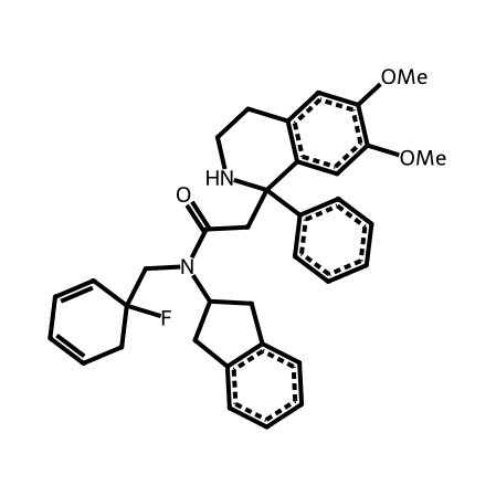 COc1cc2c(cc1OC)C(CC(=O)N(CC1(F)C=CC=CC1)C1Cc3ccccc3C1)(c1ccccc1)NCC2